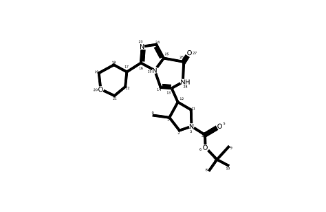 CC1CN(C(=O)OC(C)(C)C)CC1c1cn2c(C3CCOCC3)ncc2c(=O)[nH]1